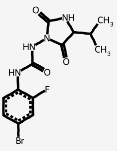 CC(C)C1NC(=O)N(NC(=O)Nc2ccc(Br)cc2F)C1=O